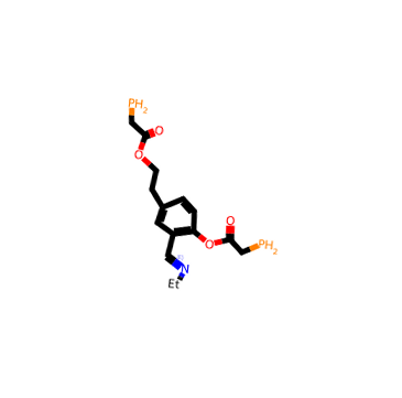 CC/N=C/c1cc(CCOC(=O)CP)ccc1OC(=O)CP